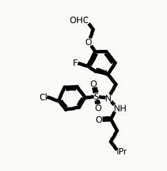 CC(C)CCC(=O)NN(Cc1ccc(OCC=O)c(F)c1)S(=O)(=O)c1ccc(Cl)cc1